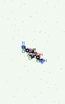 O=C(c1cc(Cl)c(-c2c[nH]nn2)cc1O)c1[nH]c(Cl)c(Cl)c1-n1c(C(=O)c2cc(Cl)c(-c3c[nH]nn3)cc2O)cc(Cl)c1Cl